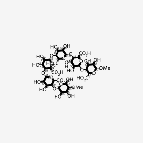 CO[C@@H]1O[C@@H](C(=O)O)[C@@H](O[C@@H]2OC(C(=O)O)[C@@H](O[C@@H]3O[C@@H](C(=O)O)[C@@H](O[C@@H]4OC(C(=O)O)[C@@H](O[C@@H]5O[C@@H](C(=O)O)[C@@H](O[C@@H]6OC(O)[C@@H](OC)[C@@H](O)C6O)C(O)C5O)[C@H](O)C4O)C(O)C3O)[C@@H](O)C2O)C(O)C1O